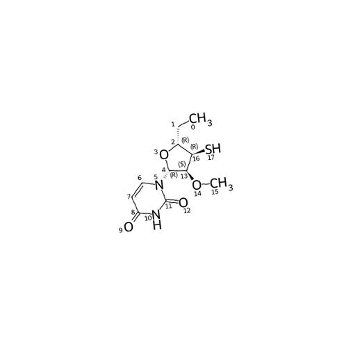 CC[C@H]1O[C@@H](n2ccc(=O)[nH]c2=O)[C@H](OC)[C@@H]1S